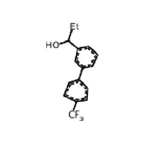 CCC(O)c1cccc(-c2ccc(C(F)(F)F)cc2)c1